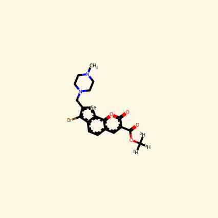 [2H]C([2H])([2H])OC(=O)c1cc2ccc3c(Br)c(CN4CCN(C)CC4)[se]c3c2oc1=O